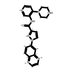 O=C(Nc1cnccc1N1CCNCC1)c1ccn(-c2ccc3nccnc3c2)n1